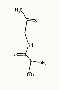 CCCCN(CCCC)C(=O)NSC(C)=S